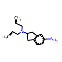 C=CCN(CC=C)C1Cc2ccc(N)cc2C1